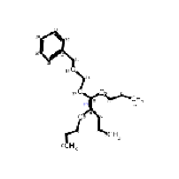 CCCO/C(CCC)=C(/OCCC)OCOCc1ccccc1